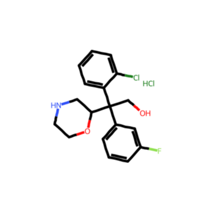 Cl.OCC(c1cccc(F)c1)(c1ccccc1Cl)C1CNCCO1